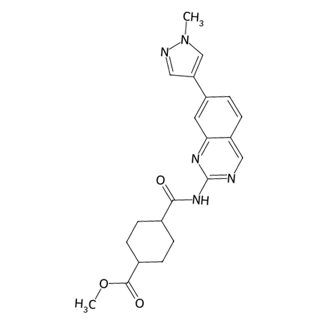 COC(=O)C1CCC(C(=O)Nc2ncc3ccc(-c4cnn(C)c4)cc3n2)CC1